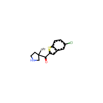 CCCC1(C(=O)c2cc3cc(Cl)ccc3s2)CCNC1